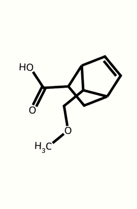 COCC1C2C=CC1C(C(=O)O)C2